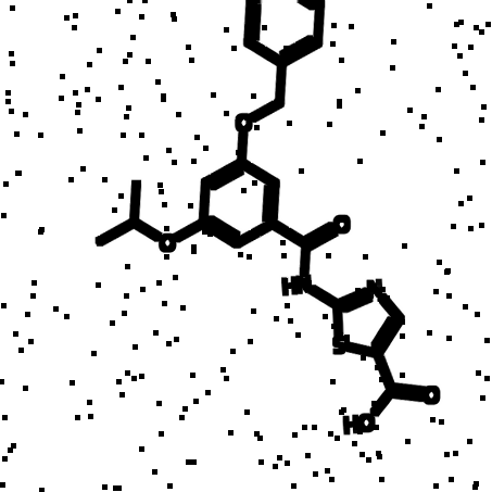 CC(C)Oc1cc(OCc2ccccc2)cc(C(=O)Nc2ncc(C(=O)O)s2)c1